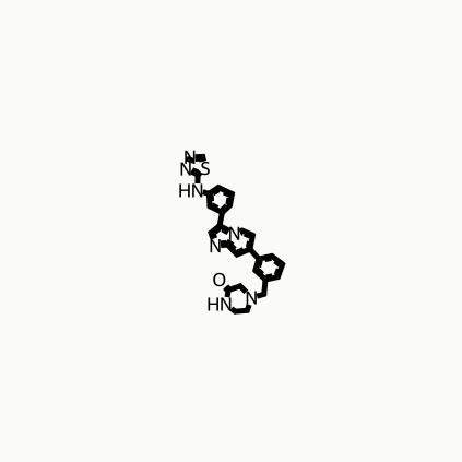 O=C1CN(Cc2cccc(-c3ccn4c(-c5cccc(Nc6nncs6)c5)cnc4c3)c2)CCN1